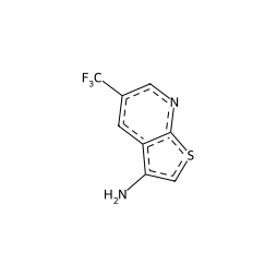 Nc1csc2ncc(C(F)(F)F)cc12